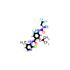 CCN(CC(F)F)C(=O)Nc1cc(O[C@@H](C)C(F)(F)F)c(C(=O)Nc2c(C)ccnc2Cl)cc1F